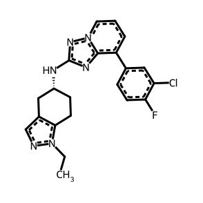 CCn1ncc2c1CC[C@@H](Nc1nc3c(-c4ccc(F)c(Cl)c4)cccn3n1)C2